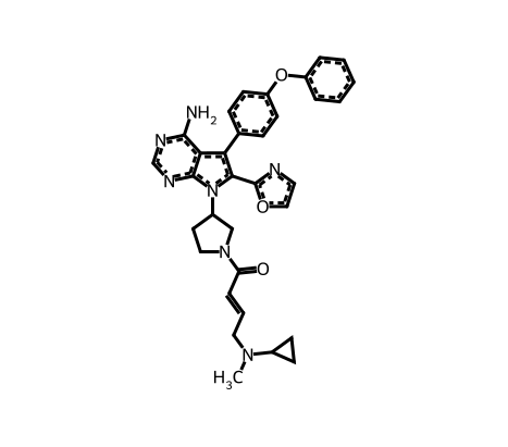 CN(CC=CC(=O)N1CCC(n2c(-c3ncco3)c(-c3ccc(Oc4ccccc4)cc3)c3c(N)ncnc32)C1)C1CC1